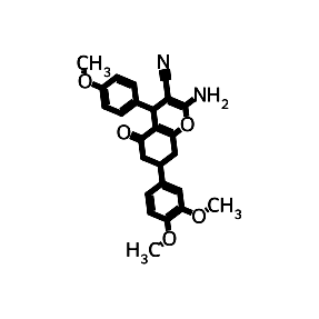 COc1ccc(C2C(C#N)=C(N)OC3=C2C(=O)CC(c2ccc(OC)c(OC)c2)C3)cc1